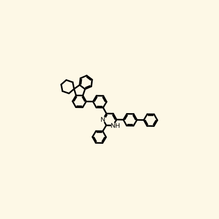 C1=C(c2ccc(-c3ccccc3)cc2)NC(c2ccccc2)N=C1c1cccc(-c2cccc3c2-c2ccccc2C32CCCCC2)c1